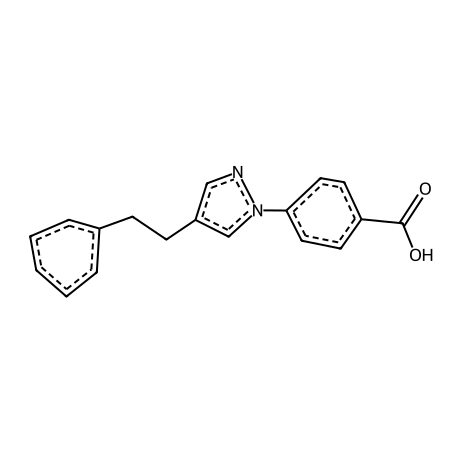 O=C(O)c1ccc(-n2cc(CCc3ccccc3)cn2)cc1